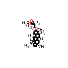 C#C[C@]12CC[C@@H](C(=C)C)C1C1CCC3[C@@]4(C)CCC(OC(=O)CC(C)(C)C(=O)OC)C(C)(C)C4CC[C@@]3(C)[C@]1(C)CC2